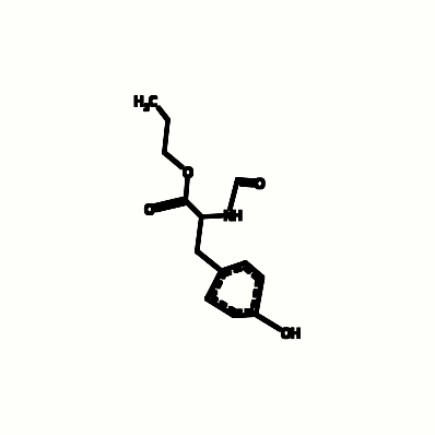 CCCOC(=O)C(Cc1ccc(O)cc1)NC=O